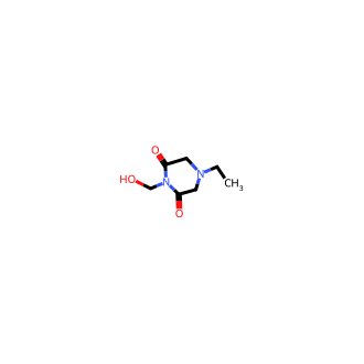 CCN1CC(=O)N(CO)C(=O)C1